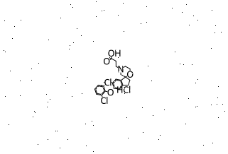 Cl.O=C(O)CCN1CCOC2(CCc3cc(Oc4c(Cl)cccc4Cl)ccc32)C1